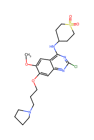 COc1cc2c(NC3CCS(=O)(=O)CC3)nc(Cl)nc2cc1OCCCN1CCCC1